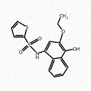 CCOc1cc(NS(=O)(=O)c2cccs2)c2ccccc2c1O